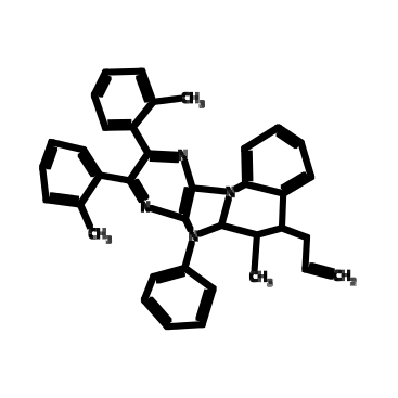 C=CCC1c2ccccc2N2c3nc(-c4ccccc4C)c(-c4ccccc4C)nc3N(c3ccccc3)C2C1C